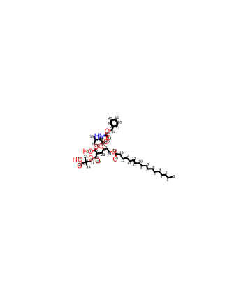 CCCCCCCCCCCCCCCCCC(=O)OCCC(CC(C(=O)O)C(=O)OCC(C)(C)C(=O)O)OC(=O)[C@@H](NC(=O)OCc1ccccc1)C(C)C